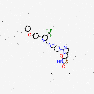 O=C1NC(=O)/C(=C\c2ccnc(N3CCC(CNCc4cc(C(F)(F)F)cc(-c5ccc(Oc6ccccc6)cc5)n4)CC3)n2)S1